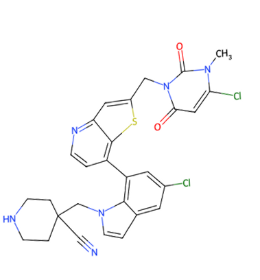 Cn1c(Cl)cc(=O)n(Cc2cc3nccc(-c4cc(Cl)cc5ccn(CC6(C#N)CCNCC6)c45)c3s2)c1=O